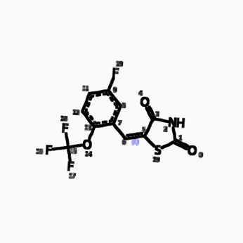 O=C1NC(=O)/C(=C\c2cc(F)ccc2OC(F)(F)F)S1